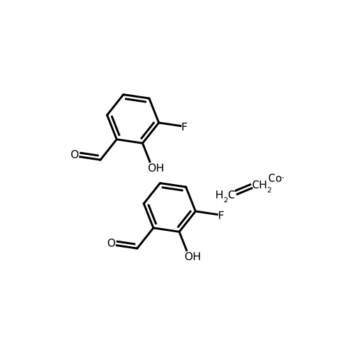 C=C.O=Cc1cccc(F)c1O.O=Cc1cccc(F)c1O.[Co]